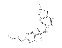 CCCCc1ccc(S(=O)(=O)Nc2ccc3c(c2)CN(C)C3)cc1